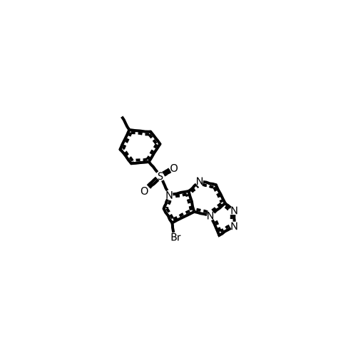 Cc1ccc(S(=O)(=O)n2cc(Br)c3c2ncc2nncn23)cc1